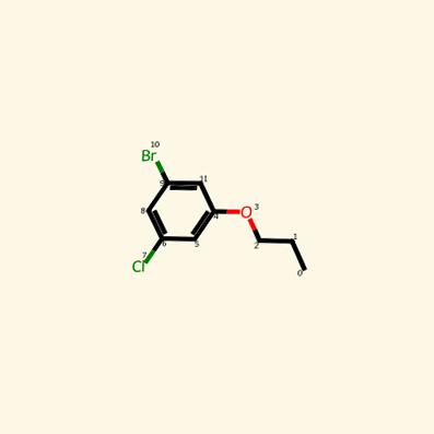 CCCOc1cc(Cl)cc(Br)c1